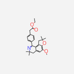 CCOC(=O)Cc1ccc(C2=NC(C)(C)Cc3cc(OC)c4c(c32)CC(C)(C)O4)cc1